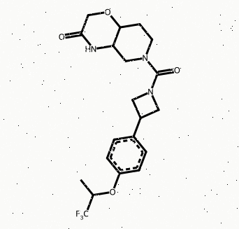 CC(Oc1ccc(C2CN(C(=O)N3CCC4OCC(=O)NC4C3)C2)cc1)C(F)(F)F